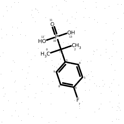 CC(C)(c1ccc(F)cc1)P(=O)(O)O